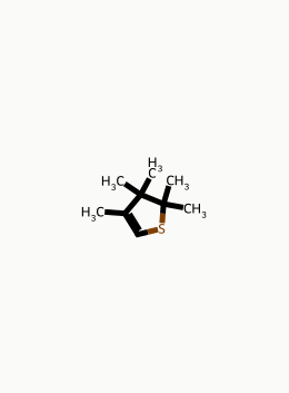 CC1=CSC(C)(C)C1(C)C